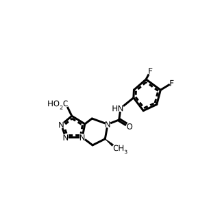 C[C@H]1Cn2nnc(C(=O)O)c2CN1C(=O)Nc1ccc(F)c(F)c1